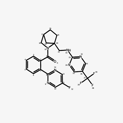 O=C(c1ccccc1-c1ncc(F)cn1)N1CC2CCC1(CNc1ncc(C(F)(F)F)cn1)C2